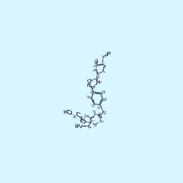 CC(C)Cc1ccc(-c2nc(-c3ccc(CN4CCC(CC(C)C)(OC(=O)O)CC4)cc3)no2)cc1Cl